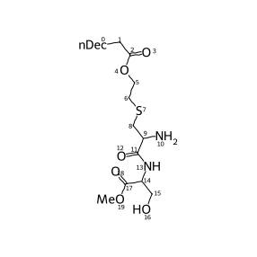 CCCCCCCCCCCC(=O)OCCSCC(N)C(=O)NC(CO)C(=O)OC